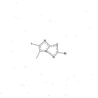 Cc1c(I)nc2sc(Br)nn12